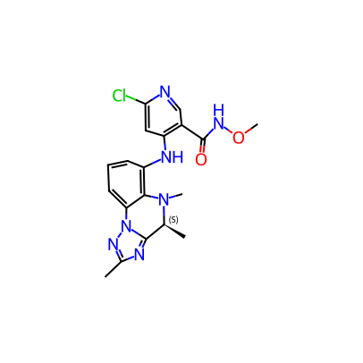 CONC(=O)c1cnc(Cl)cc1Nc1cccc2c1N(C)[C@@H](C)c1nc(C)nn1-2